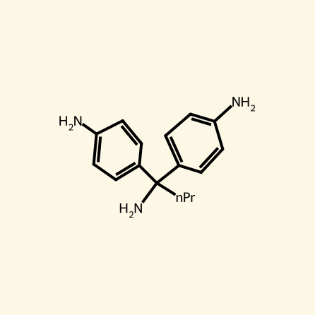 CCCC(N)(c1ccc(N)cc1)c1ccc(N)cc1